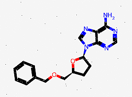 Nc1ncnc2c1ncn2[C@H]1CC[C@@H](COCc2ccccc2)O1